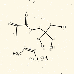 C=C(C)C(=O)OCC(CO)(CO)CO.O=C(O)/C=C\C(=O)O.[CaH2]